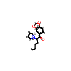 CCCCC(C(=O)c1ccc2c(c1)OCO2)N1CCCC1